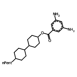 CCCCCC1CCC(C2CCC(OC(=O)c3cc(N)cc(N)c3)CC2)CC1